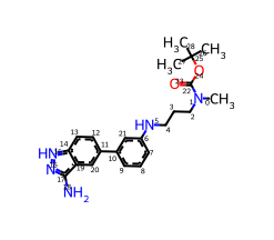 CN(CCCNc1cccc(-c2ccc3[nH]nc(N)c3c2)c1)C(=O)OC(C)(C)C